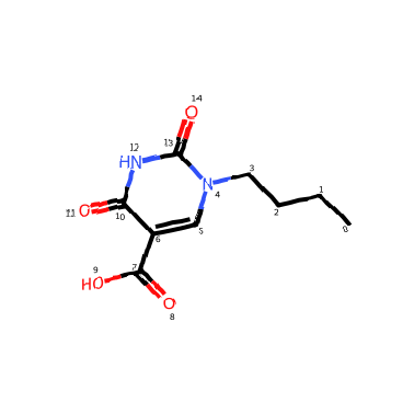 CCCCn1cc(C(=O)O)c(=O)[nH]c1=O